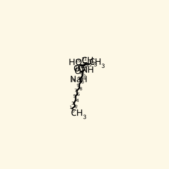 CCCCCCCCCCCCCC(=O)N[C@H](C(=O)O)[C@@H](C)CC.[NaH]